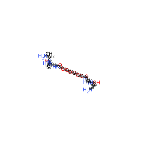 C=C(N)c1cccc(C(=O)/N=c2\[nH]c3ccccc3n2CCCCCNC(=O)CCOCCOCCOCCOCCOCCOCCNC(=O)c2ccc(/N=N/c3cc(CCN)ccc3O)cc2)c1